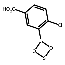 O=C(O)c1ccc(Cl)c(I2OSO2)c1